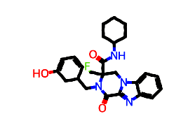 O=C1c2nc3ccccc3n2CC(CF)(C(=O)NC2CCCCC2)N1CC1C=CC=C(O)C1